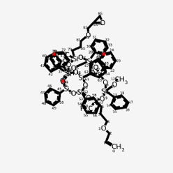 C=CCOCCC[Si]1(C)O[Si](OC)(c2ccccc2)O[Si]2(c3ccccc3)O[Si]3(c4ccccc4)O[SiH](c4ccccc4)O[Si]4(c5ccccc5)O[Si](c5ccccc5)(O1)O[Si](c1ccccc1)(O[Si](c1ccccc1)(O[Si](C)(CCCOCC1CO1)O3)O4)O2